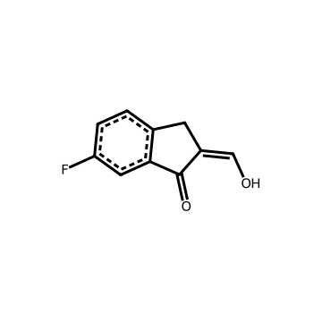 O=C1C(=CO)Cc2ccc(F)cc21